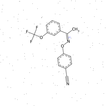 C/C(=N/Oc1ccc(C#N)cc1)c1cccc(OC(F)(F)F)c1